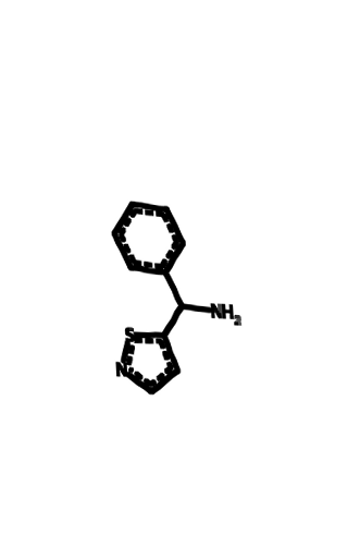 NC(c1ccccc1)c1ccns1